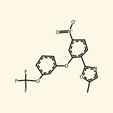 Cc1cnc(-c2ccc([N+](=O)[O-])cc2Oc2cccc(OC(F)(F)F)c2)o1